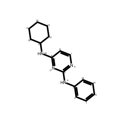 c1ccc(Nc2nccc(NC3CCCCC3)n2)cc1